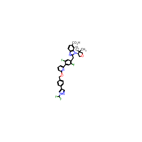 CC1(C)COC[C@H]1n1c(Cc2cc(F)c(-c3cccc(OCc4ccc(-c5cnn(C(F)F)c5)cc4)n3)cc2F)nc2ccc(C(=O)O)cc21